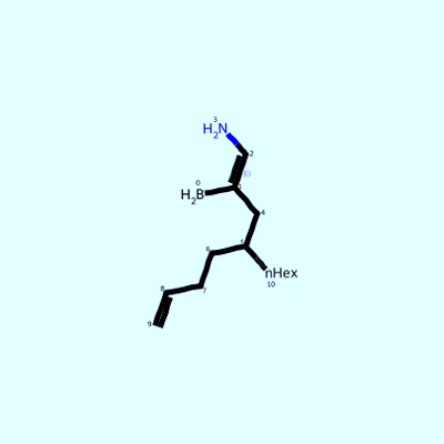 B/C(=C\N)CC(CCC=C)CCCCCC